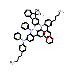 CCCCc1ccc(N(c2ccccc2)c2ccc3c(c2)N(c2ccccc2)B2c4cc5c(cc4N(c4ccc(CCCC)cc4-c4ccccc4)c4cc(-c6ccccc6)cc-3c42)C(C)(C)c2ccccc2-5)cc1